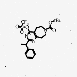 CC(c1ccccc1)c1nc2c(c(OS(=O)(=O)C(F)(F)F)n1)CCN(C(=O)OC(C)(C)C)CC2